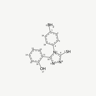 Bc1ccc(-n2c(S)nnc2-c2ccccc2O)cc1